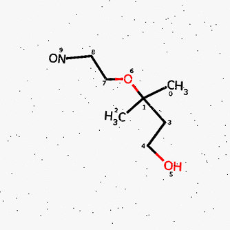 CC(C)(CCO)OCCN=O